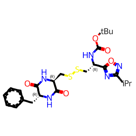 CC(C)c1noc([C@H](CSSC[C@@H]2NC(=O)[C@@H](Cc3ccccc3)NC2=O)NC(=O)OC(C)(C)C)n1